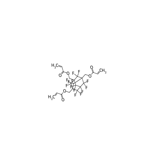 C=CC(=O)OCC12C(F)(F)C3(F)C(F)(F)C(COC(=O)C=C)(C1(F)F)C(F)(F)C(COC(=O)C=C)(C3(F)F)C2(F)F